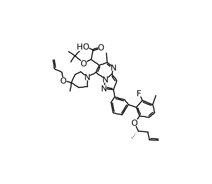 C=CCOC1(C)CCN(c2c(C(OC(C)(C)C)C(=O)O)c(C)nc3cc(-c4cccc(-c5c(O[C@@H](C)CC=C)ccc(C)c5F)c4)nn23)CC1